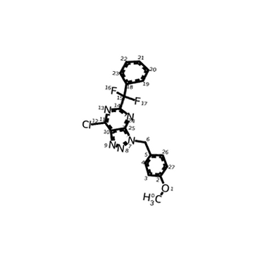 COc1ccc(Cn2nnc3c(Cl)nc(C(F)(F)c4ccccc4)nc32)cc1